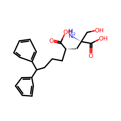 N[C@@](CO)(C[C@H](CCCC(c1ccccc1)c1ccccc1)C(=O)O)C(=O)O